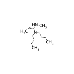 CC=C(NC)N(CCCC)CCCC